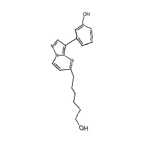 OCCCCCCc1ccn2ncc(-c3cccc(O)c3)c2n1